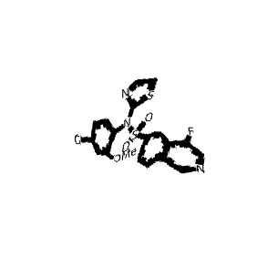 COc1cc(Cl)ccc1N(c1nccs1)S(=O)(=O)c1ccc2cncc(F)c2c1